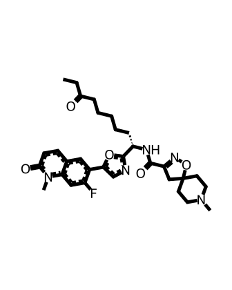 CCC(=O)CCCCC[C@H](NC(=O)C1=NOC2(CCN(C)CC2)C1)c1ncc(-c2cc3ccc(=O)n(C)c3cc2F)o1